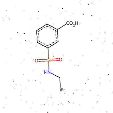 CC(C)CNS(=O)(=O)c1cccc(C(=O)O)c1